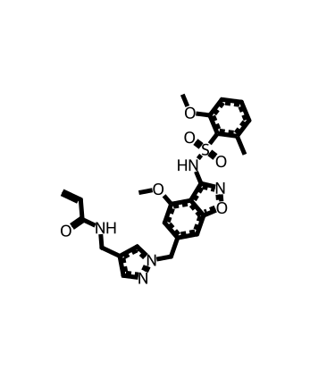 C=CC(=O)NCc1cnn(Cc2cc(OC)c3c(NS(=O)(=O)c4c(C)cccc4OC)noc3c2)c1